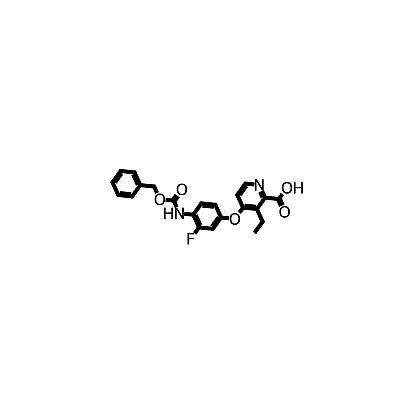 CCc1c(Oc2ccc(NC(=O)OCc3ccccc3)c(F)c2)ccnc1C(=O)O